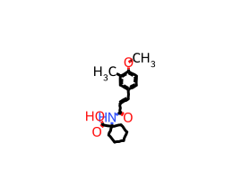 COc1ccc(/C=C/C(=O)NC2(C(=O)O)CCCCC2)cc1C